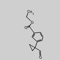 CCOC(=O)c1cccc(C2(C=O)CC2)c1